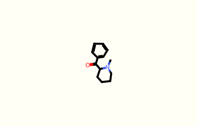 CN1CCCCC1C(=O)c1ccccc1